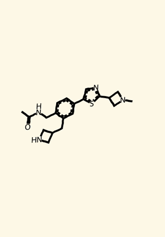 CC(=O)NCc1ccc(-c2cnc(C3CN(C)C3)s2)cc1CC1CNC1